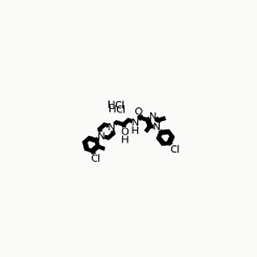 Cc1c(Cl)cccc1N1CCN(CC(O)CNC(=O)c2nc(C)n(-c3ccc(Cl)cc3)c2C)CC1.Cl.Cl